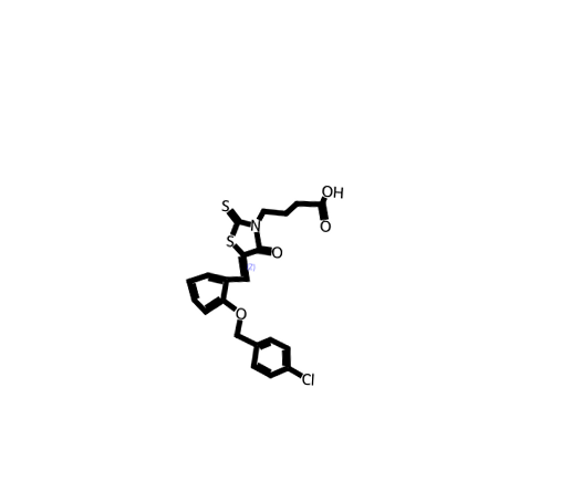 O=C(O)CCCN1C(=O)/C(=C/c2ccccc2OCc2ccc(Cl)cc2)SC1=S